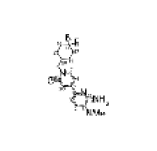 CNc1ccc(-c2ccn(CC3CCC(F)(F)CC3)c(=O)c2)nc1N